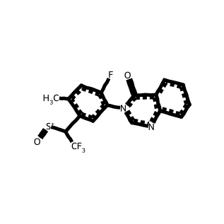 Cc1cc(F)c(-n2cnc3ccccc3c2=O)cc1C([S+]=O)C(F)(F)F